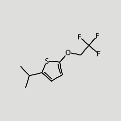 CC(C)c1ccc(OCC(F)(F)F)s1